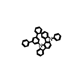 c1ccc(-c2cc(-c3ccccc3)cc(-n3c4ccccc4c4ccc5c(c6ccccc6n5-c5ccccc5)c43)c2)cc1